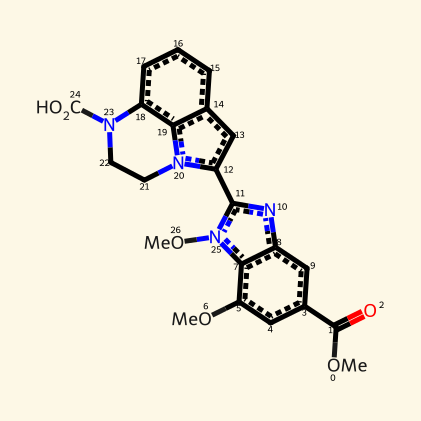 COC(=O)c1cc(OC)c2c(c1)nc(-c1cc3cccc4c3n1CCN4C(=O)O)n2OC